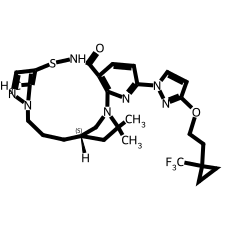 Cc1c2cnn1CCC[C@@H]1CN(c3nc(-n4ccc(OCCC5(C(F)(F)F)CC5)n4)ccc3C(=O)NS2)C(C)(C)C1